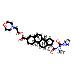 CC(C)NC(=O)N(C(=O)[C@H]1CC[C@H]2[C@@H]3CC=C4C=C(C(=O)OCCN5CCOCC5)CC[C@]4(C)[C@H]3CC[C@]12C)C(C)C